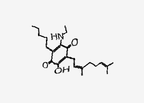 CCCCCC1=C(NCC)C(=O)C(CC=C(C)CCC=C(C)C)=C(O)C1=O